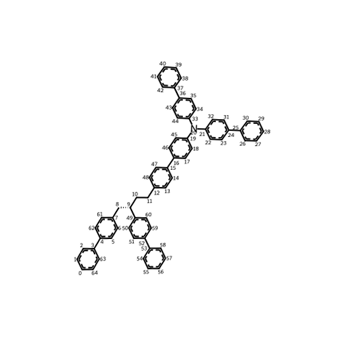 c1ccc(-c2ccc(C[C@H](CCc3ccc(-c4ccc(N(c5ccc(-c6ccccc6)cc5)c5ccc(-c6ccccc6)cc5)cc4)cc3)c3ccc(-c4ccccc4)cc3)cc2)cc1